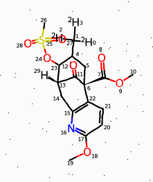 [2H]C([2H])([2H])C1C[C@@]2(C(=O)OC)C(=O)[C@H](Cc3nc(OC)ccc32)C1OS(C)(=O)=O